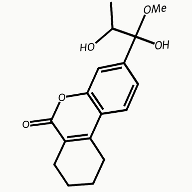 COC(O)(c1ccc2c3c(c(=O)oc2c1)CCCC3)C(C)O